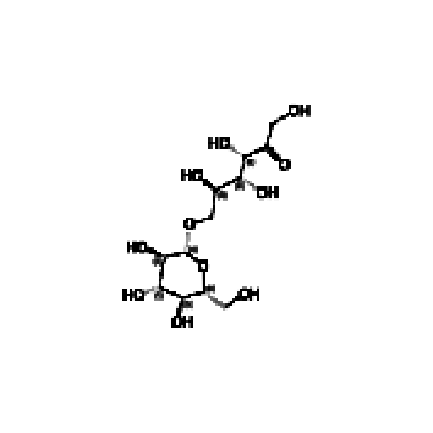 O=C(CO)[C@@H](O)[C@H](O)[C@H](O)CO[C@@H]1O[C@H](CO)[C@@H](O)[C@H](O)[C@H]1O